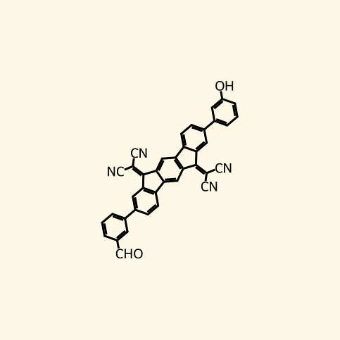 N#CC(C#N)=C1c2cc(-c3cccc(O)c3)ccc2-c2cc3c(cc21)-c1ccc(-c2cccc(C=O)c2)cc1C3=C(C#N)C#N